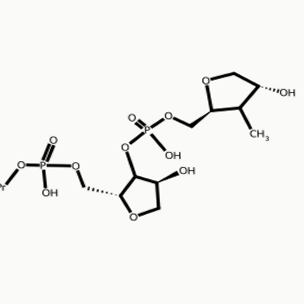 CC(C)OP(=O)(O)OC[C@H]1OC[C@H](O)C1OP(=O)(O)OC[C@H]1OC[C@H](O)C1C